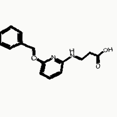 O=C(O)CCNc1cccc(OCc2ccccc2)n1